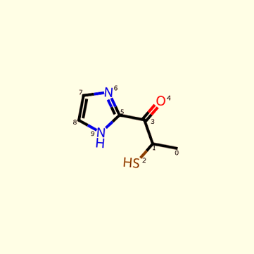 CC(S)C(=O)c1ncc[nH]1